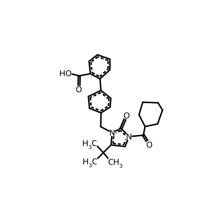 CC(C)(C)c1cn(C(=O)C2CCCCC2)c(=O)n1Cc1ccc(-c2ccccc2C(=O)O)cc1